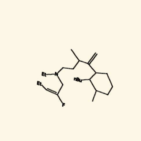 C=C(C(C)CCN(CC)C/C(F)=C\CC)C1CCCC(C)C1CCCC